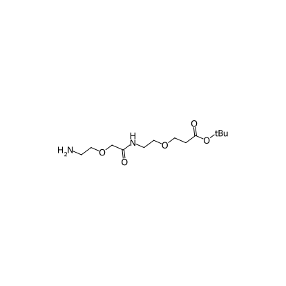 CC(C)(C)OC(=O)CCOCCNC(=O)COCCN